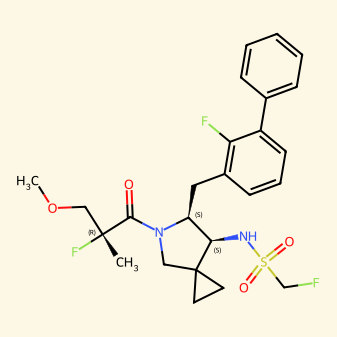 COC[C@@](C)(F)C(=O)N1CC2(CC2)[C@H](NS(=O)(=O)CF)[C@@H]1Cc1cccc(-c2ccccc2)c1F